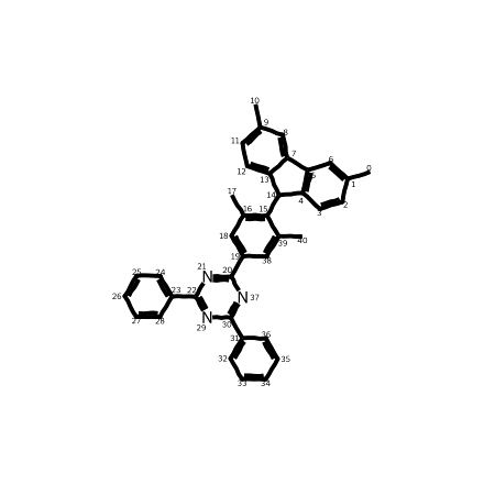 Cc1ccc2c(c1)-c1cc(C)ccc1C2c1c(C)cc(-c2nc(-c3ccccc3)nc(-c3ccccc3)n2)cc1C